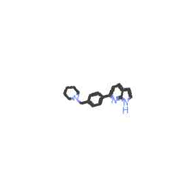 c1cc2ccc(-c3ccc(CN4CCCCC4)cc3)nc2[nH]1